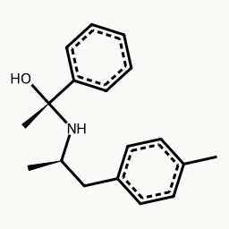 Cc1ccc(C[C@@H](C)N[C@](C)(O)c2ccccc2)cc1